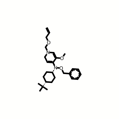 C=CCOCN1C=C(OC)C(N(OCc2ccccc2)[C@H]2CC[C@@H](C(C)(C)C)CC2)=CC1